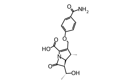 C[C@H]1C(COc2ccc(C(N)=O)cc2)=C(C(=O)O)N2C(=O)[C@H]([C@@H](C)O)C12